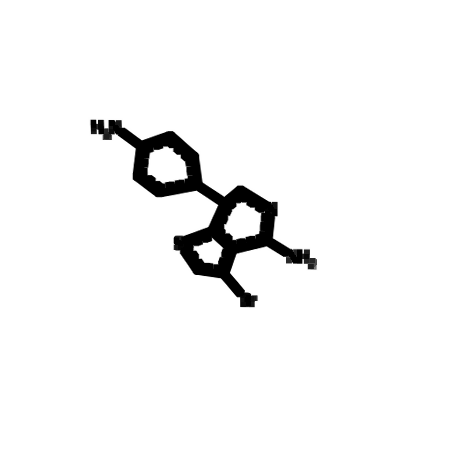 Nc1ccc(-c2cnc(N)c3c(Br)csc23)cc1